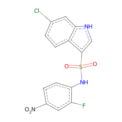 O=[N+]([O-])c1ccc(NS(=O)(=O)c2c[nH]c3cc(Cl)ccc23)c(F)c1